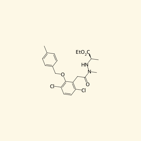 CCOC(=O)[C@@H](C)NN(C)C(=O)Cc1c(Cl)ccc(Cl)c1OCc1ccc(C)cc1